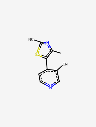 Cc1nc(C#N)sc1-c1ccncc1C#N